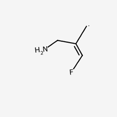 [CH2]C(=CF)CN